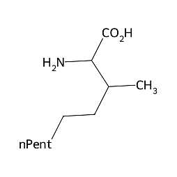 CCCCCCCC(C)C(N)C(=O)O